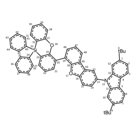 CC(C)(C)c1ccc2c3ccc(C(C)(C)C)cc3n(-c3ccc4oc5c(-c6cccc7c6Oc6ccccc6[Si]7(c6ccccc6)c6ccccc6)cccc5c4c3)c2c1